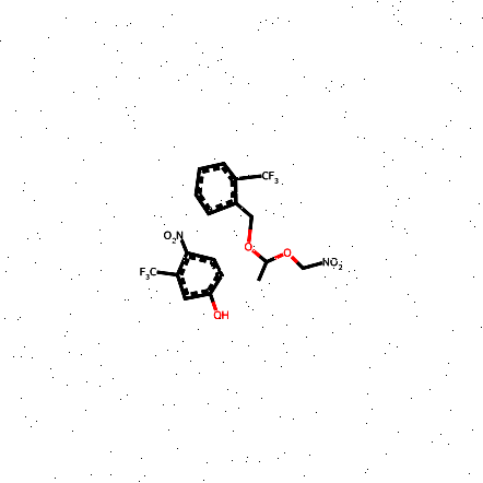 CC(OCc1ccccc1C(F)(F)F)OC[N+](=O)[O-].O=[N+]([O-])c1ccc(O)cc1C(F)(F)F